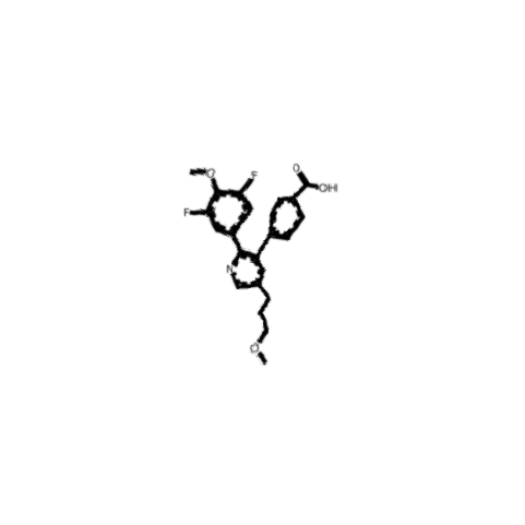 COCCCc1cnc(-c2cc(F)c(OC)c(F)c2)c(-c2ccc(C(=O)O)cc2)c1